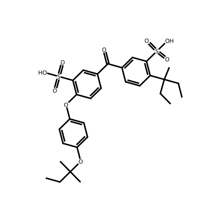 CCC(C)(C)Oc1ccc(Oc2ccc(C(=O)c3ccc(C(C)(CC)CC)c(S(=O)(=O)O)c3)cc2S(=O)(=O)O)cc1